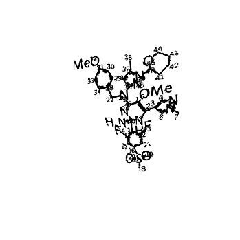 COC1=C(c2cnn(C)c2)NC(N)(c2c(F)cc(S(C)(=O)=O)cc2F)N=C1N(Cc1ccc(OC)cc1)c1cc(C)n(C2CCCCO2)n1